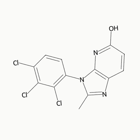 Cc1nc2ccc(O)nc2n1-c1ccc(Cl)c(Cl)c1Cl